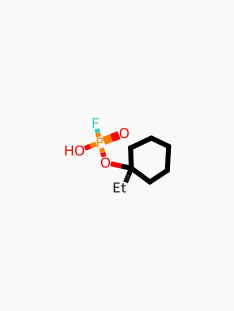 CCC1(OP(=O)(O)F)CCCCC1